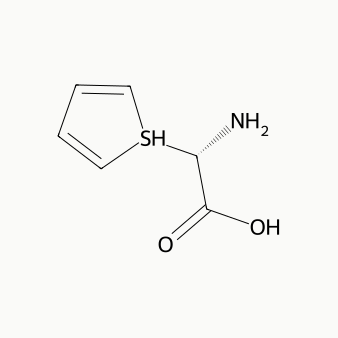 N[C@H](C(=O)O)[SH]1C=CC=C1